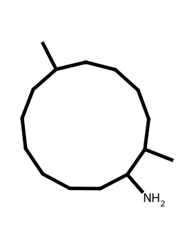 CC1CCCCCCC(N)C(C)CCCC1